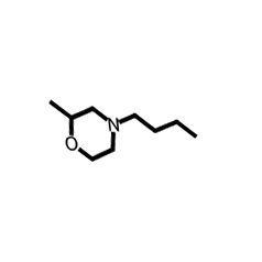 CCCCN1CCOC(C)C1